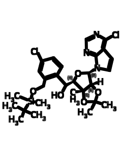 CC1(C)O[C@H]2[C@H](n3ccc4c(Cl)ncnc43)O[C@H](C(O)c3ccc(Cl)cc3CO[Si](C)(C)C(C)(C)C)[C@@]2(C)O1